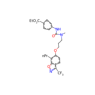 CCCc1c(OCCCN(C)C(=O)Nc2ccc(C(=O)OCC)cc2)ccc2c(C(F)(F)F)noc12